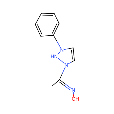 CC(=NO)N1C=CN(c2ccccc2)N1